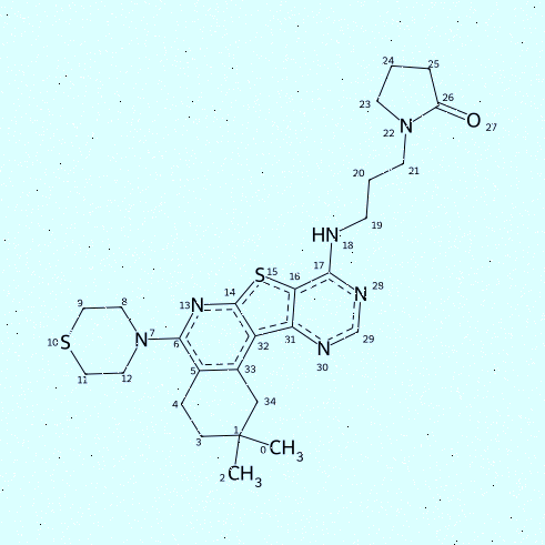 CC1(C)CCc2c(N3CCSCC3)nc3sc4c(NCCCN5CCCC5=O)ncnc4c3c2C1